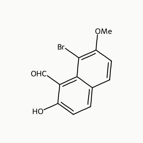 COc1ccc2ccc(O)c(C=O)c2c1Br